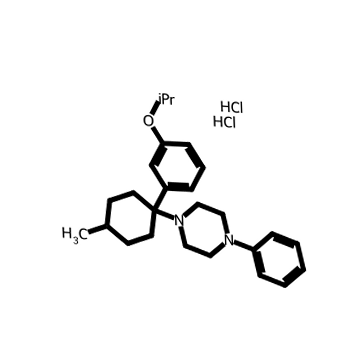 CC1CCC(c2cccc(OC(C)C)c2)(N2CCN(c3ccccc3)CC2)CC1.Cl.Cl